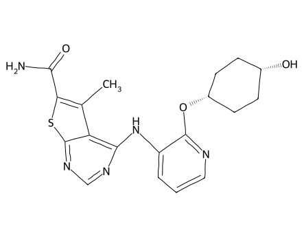 Cc1c(C(N)=O)sc2ncnc(Nc3cccnc3O[C@H]3CC[C@@H](O)CC3)c12